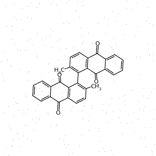 Cc1ccc2c(c1-c1c(C)ccc3c1C(=O)c1ccccc1C3=O)C(=O)c1ccccc1C2=O